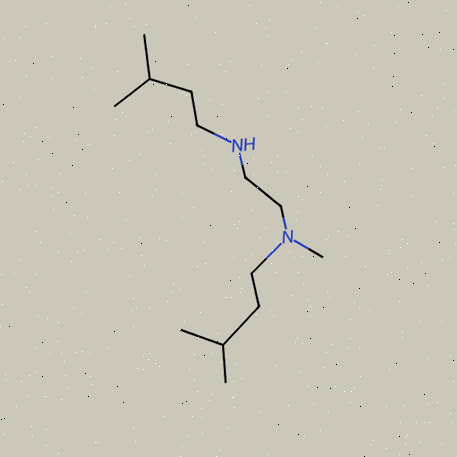 CC(C)CCNCCN(C)CCC(C)C